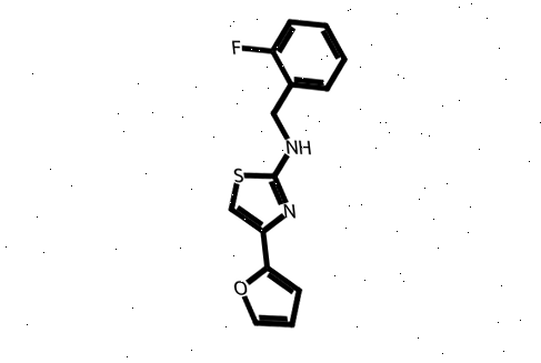 Fc1ccccc1CNc1nc(-c2ccco2)cs1